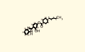 CCCCC[C@H]1CC[C@H](C(=O)Oc2ccc(-c3nc4ccccc4[nH]3)c(O)c2)CC1